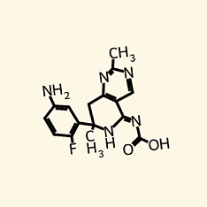 Cc1ncc2c(n1)CC(C)(c1cc(N)ccc1F)N/C2=N\C(=O)O